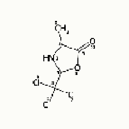 CC1NC(C(Cl)(Cl)Cl)OC1=O